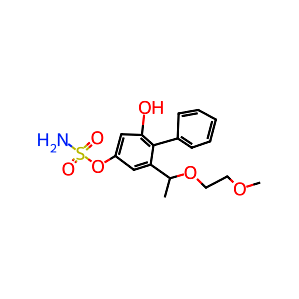 COCCOC(C)c1cc(OS(N)(=O)=O)cc(O)c1-c1ccccc1